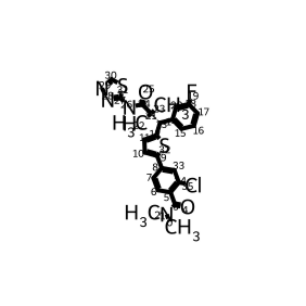 CN(C)C(=O)c1ccc(-c2ccc([C@@H](c3cccc(F)c3)C(C)(C)C(=O)Nc3nncs3)s2)cc1Cl